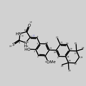 COc1cc(O)c(/C=C2\NC(=S)NC2=O)cc1-c1cc2c(cc1C)C(C)(C)CCC2(C)C